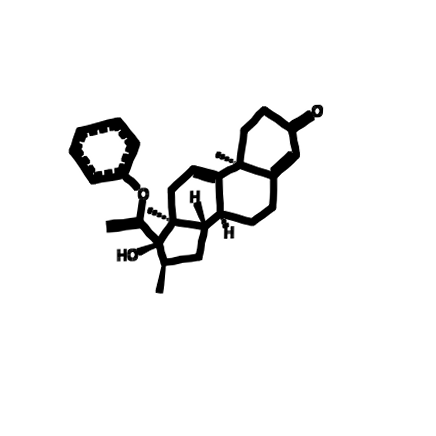 C=C(Oc1ccccc1)[C@@]1(O)[C@H](C)C[C@H]2[C@@H]3CCC4=CC(=O)CC[C@]4(C)C3=CC[C@@]21C